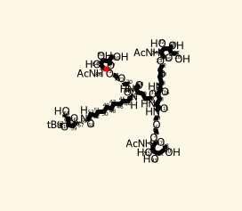 CC(=O)NC1C(OCCOCCNC(=O)C(CCC(=O)NCCOCCOC2OC(CO)C(O)C(O)C2NC(C)=O)NC(=O)CCC(NC(=O)CCCCCCCCCCC(=O)NC[C@@H]2C[C@H](OC(C)(C)C)[C@@H](CO)O2)C(=O)NCCOCCOC2OC(CO)C(O)C(O)C2NC(C)=O)OCC(O)CC(O)C1O